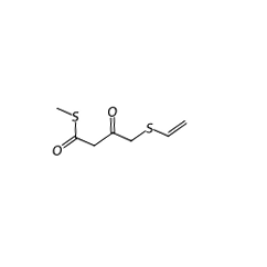 C=CSCC(=O)CC(=O)SC